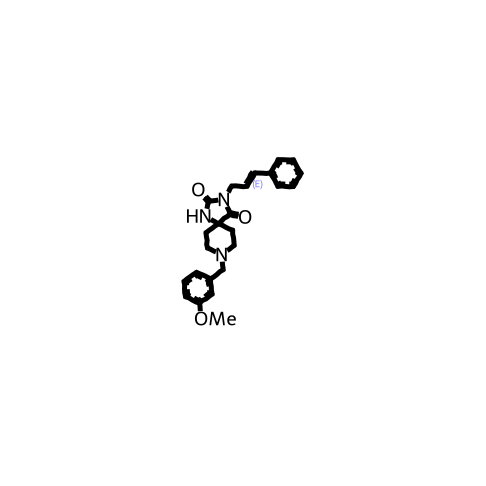 COc1cccc(CN2CCC3(CC2)NC(=O)N(C/C=C/c2ccccc2)C3=O)c1